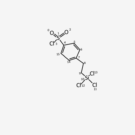 O=S(=O)(Cl)c1ccc(CC[Si](Cl)(Cl)Cl)cc1